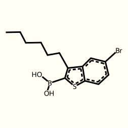 CCCCCCc1c(B(O)O)sc2ccc(Br)cc12